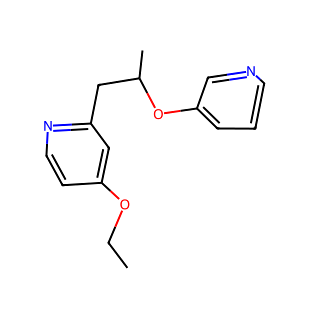 CCOc1ccnc(CC(C)Oc2cccnc2)c1